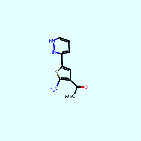 COC(=O)c1cc(C2=CC=CNN2)sc1N